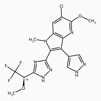 COc1nc2c(-c3cn[nH]c3)c(-c3n[nH]c([C@@H](OC)C(F)(F)F)n3)n(C)c2cc1Cl